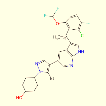 CCc1c(-c2cnc3[nH]cc([C@H](C)c4c(OC(F)F)ccc(F)c4Cl)c3c2)cnn1C1CCC(O)CC1